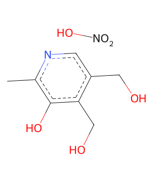 Cc1ncc(CO)c(CO)c1O.O=[N+]([O-])O